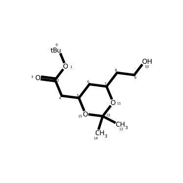 CC(C)(C)OC(=O)CC1CC(CCO)OC(C)(C)O1